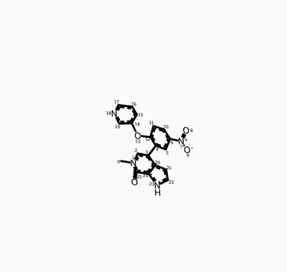 Cn1cc(-c2cc([N+](=O)[O-])ccc2Oc2cccnc2)c2cc[nH]c2c1=O